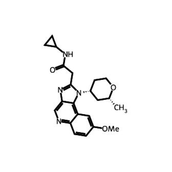 COc1ccc2ncc3nc(CC(=O)NC4CC4)n([C@@H]4CCO[C@H](C)C4)c3c2c1